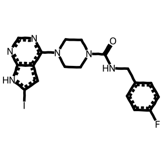 O=C(NCc1ccc(F)cc1)N1CCN(c2ncnc3[nH]c(I)cc23)CC1